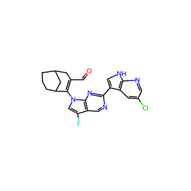 O=CC1=C(n2cc(F)c3cnc(-c4c[nH]c5ncc(Cl)cc45)nc32)C2CCCC(C1)C2